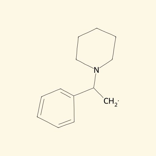 [CH2]C(c1ccccc1)N1CCCCC1